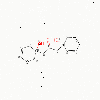 O=C(CC1(O)C=CC=CC1)CC1(O)C=CC=CC1